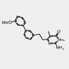 COc1cccc(-c2cccc(CCc3nc(N)n(C)c(=O)c3C)c2)c1